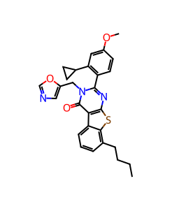 CCCCc1cccc2c1sc1nc(-c3ccc(OC)cc3C3CC3)n(Cc3cnco3)c(=O)c12